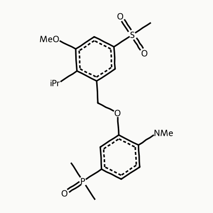 CNc1ccc(P(C)(C)=O)cc1OCc1cc(S(C)(=O)=O)cc(OC)c1C(C)C